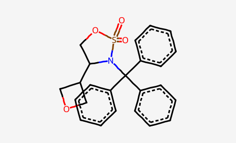 O=S1(=O)OCC(C2COC2)N1C(c1ccccc1)(c1ccccc1)c1ccccc1